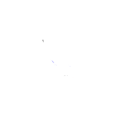 O=c1ccn([C@H]2CC[C@@H](CI)O2)c(=O)[nH]1